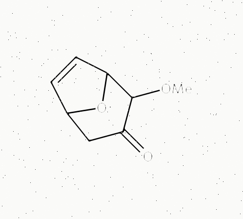 COC1C(=O)CC2C=CC1O2